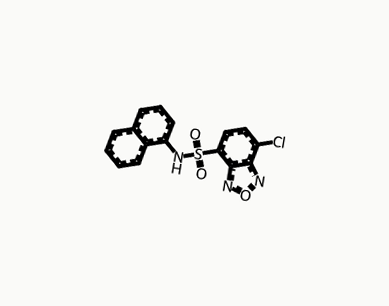 O=S(=O)(Nc1cccc2ccccc12)c1ccc(Cl)c2nonc12